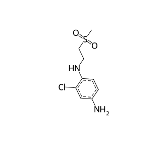 CS(=O)(=O)CCNc1ccc(N)cc1Cl